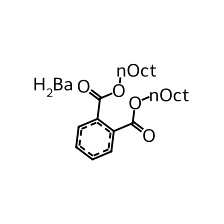 CCCCCCCCOC(=O)c1ccccc1C(=O)OCCCCCCCC.[BaH2]